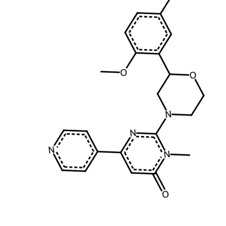 COc1ccc(F)cc1C1CN(c2nc(-c3ccncc3)cc(=O)n2C)CCO1